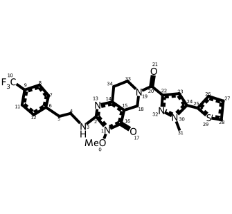 COn1c(NCCc2ccc(C(F)(F)F)cc2)nc2c(c1=O)CN(C(=O)c1cc(-c3cccs3)n(C)n1)CC2